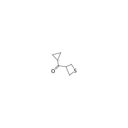 O=C([C]1CC1)C1CSC1